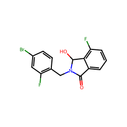 O=C1c2cccc(F)c2C(O)N1Cc1ccc(Br)cc1F